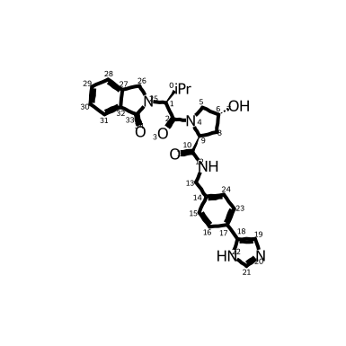 CC(C)[C@@H](C(=O)N1C[C@H](O)C[C@H]1C(=O)NCc1ccc(-c2cnc[nH]2)cc1)N1Cc2ccccc2C1=O